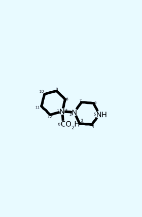 O=C(O)[N+]1(N2CCNCC2)CCCCC1